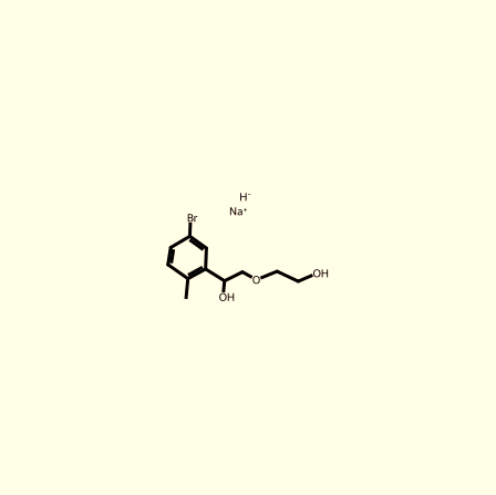 Cc1ccc(Br)cc1C(O)COCCO.[H-].[Na+]